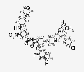 CC1(C)CC(c2ccc(Cl)cc2)=C(CN2CCN(c3ccc(C(=O)N[S+]([O-])c4ccc(NC5CCC(N6CCOCC6)CC5)c([N+](=O)[O-])c4)c(Oc4cc5cc[nH]c5cc4F)c3)CC2)CO1